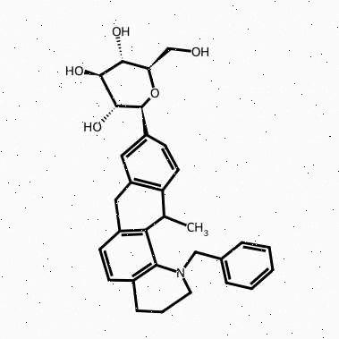 CC1c2ccc([C@@H]3O[C@H](CO)[C@@H](O)[C@H](O)[C@H]3O)cc2Cc2ccc3c(c21)N(Cc1ccccc1)CCC3